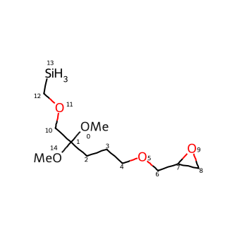 COC(CCCOCC1CO1)(COC[SiH3])OC